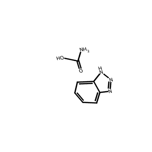 NC(=O)O.c1ccc2[nH]nnc2c1